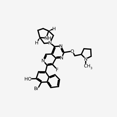 CN1CCCC1COc1nc(N2C[C@H]3CC[C@@H](C2)N3)c2cnc(-c3cc(O)c(Br)c4ccccc34)c(F)c2n1